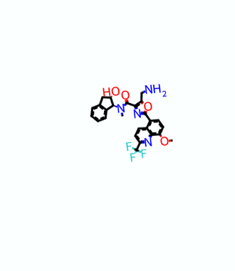 COc1ccc(-c2nc(C(=O)N(C)[C@H]3c4ccccc4C[C@@H]3O)c(CN)o2)c2ccc(C(F)(F)F)nc12